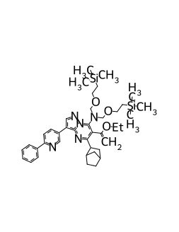 C=C(OCC)c1c(C2CC3CCC2C3)nc2c(-c3ccc(-c4ccccc4)nc3)cnn2c1N(COCC[Si](C)(C)C)COCC[Si](C)(C)C